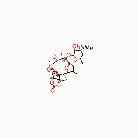 CC[C@H]1OC(=O)O[C@@]1(C)[C@@H]1OC(=O)[C@H](C)C(=O)[C@H](C)[C@@H](OC2OC(C)CC(NC)C2O)[C@@]2(C)CC(C)C(O2)[C@@H]1C